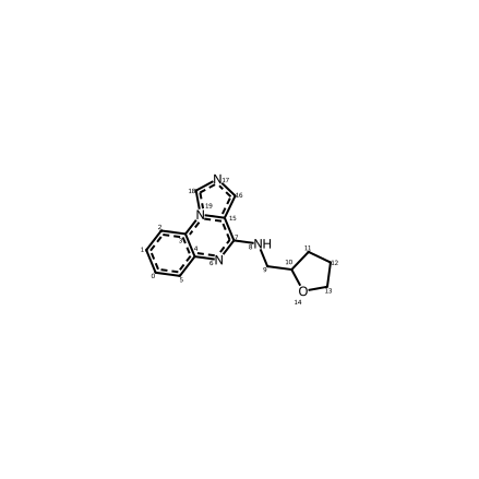 c1ccc2c(c1)nc(NCC1CCCO1)c1cncn12